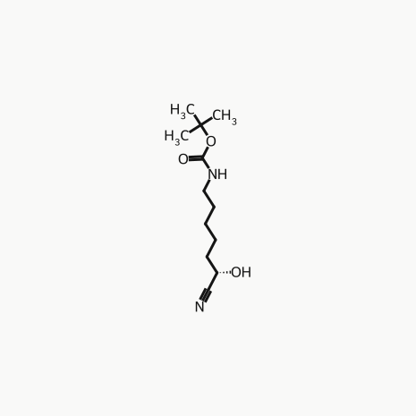 CC(C)(C)OC(=O)NCCCCC[C@H](O)C#N